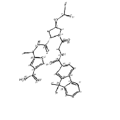 C[C@@H](NC(=O)[C@@H]1C[C@@H](OC(F)F)CN1C(=O)CNC(=O)c1ccc2c(c1)C(C)(C)c1ccccc1-2)c1cc(C(=N)N)cs1